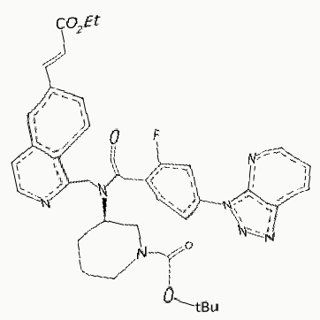 CCOC(=O)/C=C/c1ccc2c(N(C(=O)c3ccc(-n4nnc5cccnc54)cc3F)[C@@H]3CCCN(C(=O)OC(C)(C)C)C3)nccc2c1